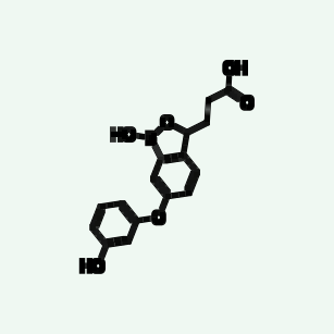 O=C(O)CCC1OB(O)c2cc(Oc3cccc(O)c3)ccc21